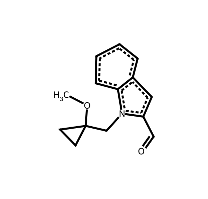 COC1(Cn2c(C=O)cc3ccccc32)CC1